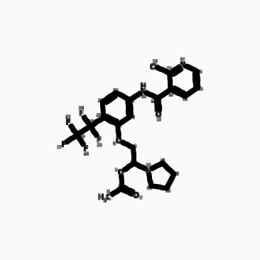 CC(=O)OC(COc1cc(NC(=O)c2cccnc2Cl)ccc1C(F)(F)C(F)(F)F)N1CCCC1